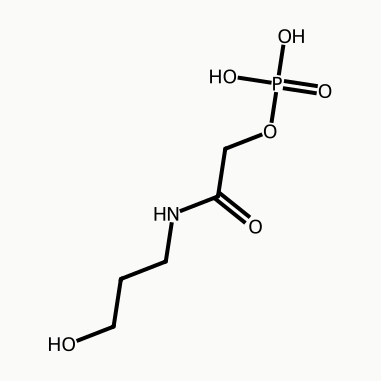 O=C(COP(=O)(O)O)NCCCO